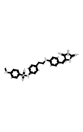 COc1ccc(S(=O)(=O)Oc2ccc(CCOc3ccc(/C=C4/SC(=O)NC4=O)cc3)cc2)cc1